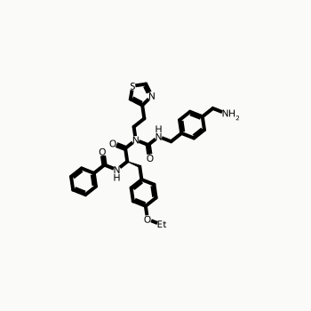 CCOc1ccc(C[C@@H](NC(=O)c2ccccc2)C(=O)N(CCc2cscn2)C(=O)NCc2ccc(CN)cc2)cc1